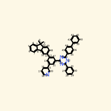 CC1(C)c2ccccc2-c2cc(-c3cc(-c4cccnc4)cc(-c4nc(-c5ccccc5)nc(-c5ccc(-c6ccccc6)cc5)n4)c3)ccc21